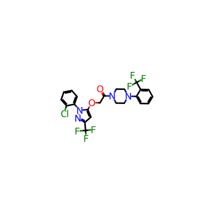 O=C(COc1cc(C(F)(F)F)nn1-c1ccccc1Cl)N1CCN(c2ccccc2C(F)(F)F)CC1